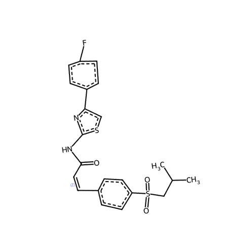 CC(C)CS(=O)(=O)c1ccc(/C=C\C(=O)Nc2nc(-c3ccc(F)cc3)cs2)cc1